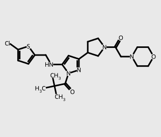 CC(C)(C)C(=O)n1nc(C2CCN(C(=O)CN3CCOCC3)C2)cc1NCc1ccc(Cl)s1